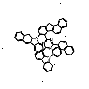 C1=Cc2ccc(-c3nc(-c4c(N5c6ccccc6C6=Cc7ccccc7CC65)ccc5c4-c4ccc6ccccc6c4C5)nc(-c4cccc5c6c(n(-c7ccccc7)c45)CCC=C6)n3)cc2CC1